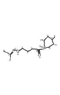 CC(C)=NOCCCC(=O)N1CCC(C)CC1